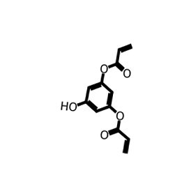 C=CC(=O)Oc1cc(O)cc(OC(=O)C=C)c1